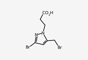 O=C(O)CCn1nc(Br)cc1CBr